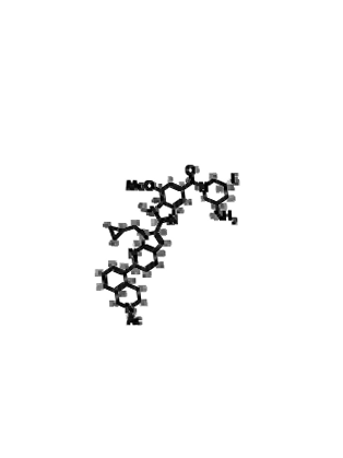 COc1cc(C(=O)N2C[C@H](N)C[C@@H](F)C2)cc2nc(-c3cc4ccc(-c5cccc6c5CCN(C(C)=O)C6)nc4n3CC3CC3)n(C)c12